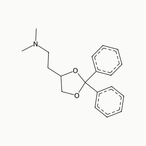 CN(C)CCC1COC(c2ccccc2)(c2ccccc2)O1